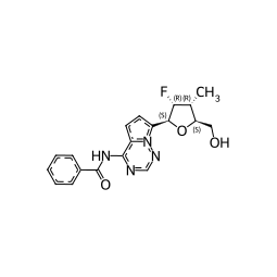 C[C@H]1[C@@H](F)[C@H](c2ccc3c(NC(=O)c4ccccc4)ncnn23)O[C@@H]1CO